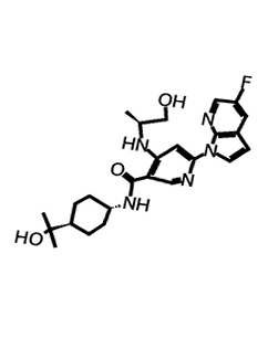 C[C@@H](CO)Nc1cc(-n2ccc3cc(F)cnc32)ncc1C(=O)N[C@H]1CC[C@H](C(C)(C)O)CC1